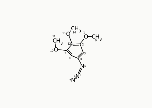 COc1cc(N=[N+]=[N-])cc(OC)c1OC